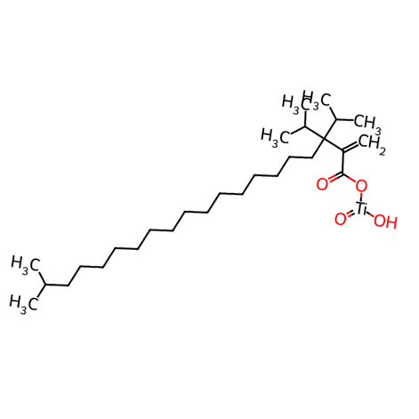 C=C(C(=O)[O][Ti](=[O])[OH])C(CCCCCCCCCCCCCCCC(C)C)(C(C)C)C(C)C